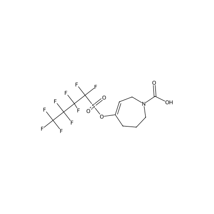 O=C(O)N1CC=C(OS(=O)(=O)C(F)(F)C(F)(F)C(F)(F)C(F)(F)F)CCC1